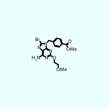 COCCOc1nc(N)c2nc(Br)n(Cc3ccc(C(=O)OC)cc3)c2n1